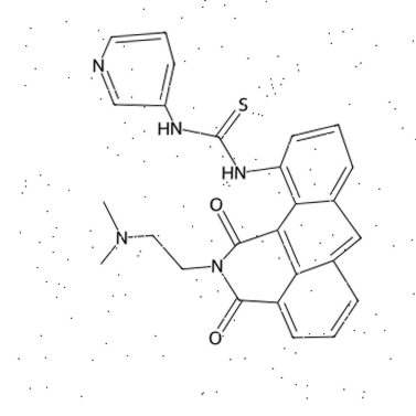 CN(C)CCN1C(=O)c2cccc3cc4cccc(NC(=S)Nc5cccnc5)c4c(c23)C1=O